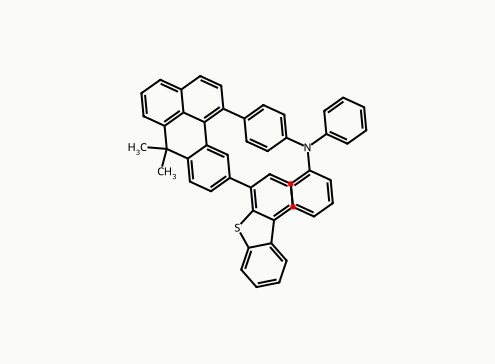 CC1(C)c2ccc(-c3cccc4c3sc3ccccc34)cc2-c2c(-c3ccc(N(c4ccccc4)c4ccccc4)cc3)ccc3cccc1c23